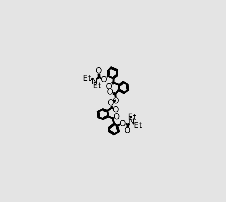 CCN(CC)C(=O)Oc1ccccc1C(=O)c1ccccc1C(=O)OOC(=O)c1ccccc1C(=O)c1ccccc1OC(=O)N(CC)CC